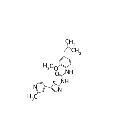 COc1cc(CC(C)C)ccc1NC(=O)Nc1ncc(-c2ccnc(C)c2)s1